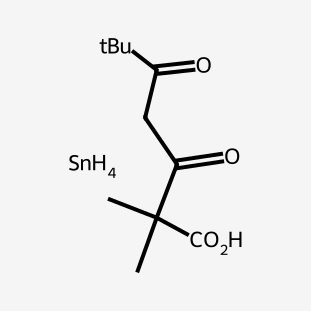 CC(C)(C)C(=O)CC(=O)C(C)(C)C(=O)O.[SnH4]